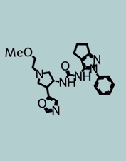 COCCN1CC(c2cnco2)[C@H](NC(=O)Nc2c3c(nn2-c2ccccc2)CCC3)C1